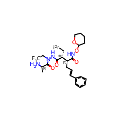 CC(C)C[C@@H](C(=O)NN(CC(F)(F)F)C(=O)[C@@H](C)N)[C@H](CC=Cc1ccccc1)C(=O)NOC1CCCCO1